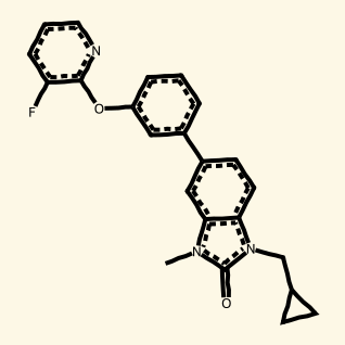 Cn1c(=O)n(CC2CC2)c2ccc(-c3cccc(Oc4ncccc4F)c3)cc21